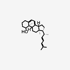 CC(C)=C/C=C/[C@@H](C)[C@H]1CC[C@H]2C3=CC=C4CCCC(O)[C@]4(C)[C@H]3CC[C@]12C